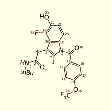 CCCCNC(=O)Cc1c(C)n(C(=O)c2ccc(OC(F)(F)F)cc2)c2ccc(O)c(F)c12